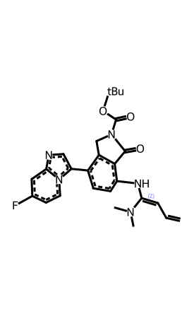 C=C/C=C(/Nc1ccc(-c2cnc3cc(F)ccn23)c2c1C(=O)N(C(=O)OC(C)(C)C)C2)N(C)C